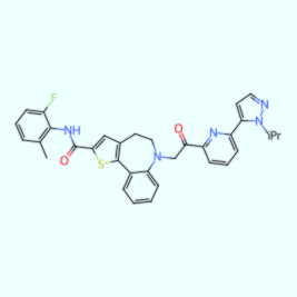 Cc1cccc(F)c1NC(=O)c1cc2c(s1)-c1ccccc1N(CC(=O)c1cccc(-c3ccnn3C(C)C)n1)CC2